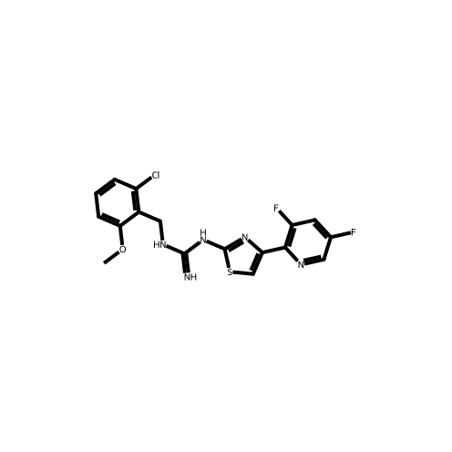 COc1cccc(Cl)c1CNC(=N)Nc1nc(-c2ncc(F)cc2F)cs1